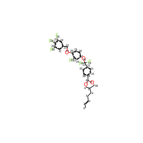 C/C=C/CCC1COC(c2ccc(C(F)(F)Oc3ccc(OCc4cc(F)c(F)c(F)c4)c(F)c3)cc2)OC1